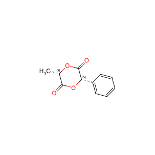 C[C@@H]1OC(=O)[C@H](c2ccccc2)OC1=O